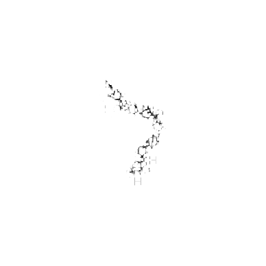 C[C@@H]1CC2(CCN(c3ccc(C(=O)N4CCC(CN5CCN(c6cccc(NC7CCC(=O)NC7=O)c6)CC5)CC4)nn3)CC2)CN1c1ccc(C#N)c(Cl)c1